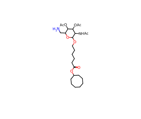 CC(=O)NC1C(OCCCCCC(=O)OC2CCCCCCC2)OC(CN)C(OC(C)=O)C1OC(C)=O